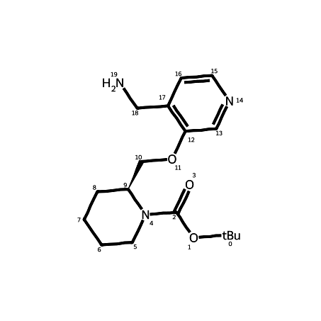 CC(C)(C)OC(=O)N1CCCC[C@H]1COc1cnccc1CN